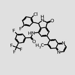 Cc1cc2nccnc2cc1-c1cc(NC(=O)c2cc(F)cc(C(F)(F)F)c2)c2c(c1)C(=O)NC2c1cc(F)ccc1Cl